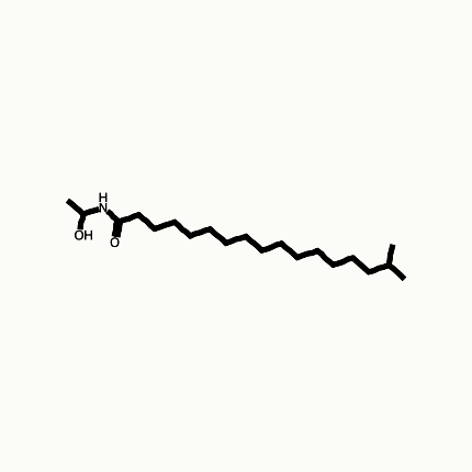 CC(C)CCCCCCCCCCCCCCC(=O)NC(C)O